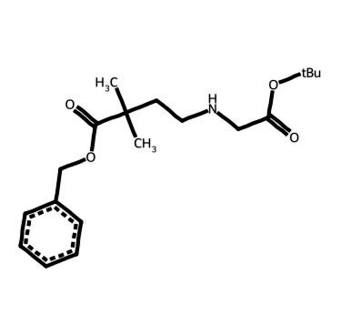 CC(C)(C)OC(=O)CNCCC(C)(C)C(=O)OCc1ccccc1